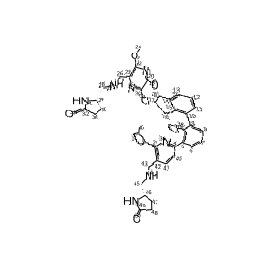 COc1nc(-c2cccc(-c3cccc4c3CC[C@@H]4Oc3nc(OC)c(CNC[C@@H]4CCC(=O)N4)nc3Cl)c2Cl)ccc1CNC[C@@H]1CCC(=O)N1